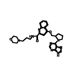 O=C(NCCCN1CCOCC1)c1cc(OCC2CCCN2c2ncnc3[nH]cnc23)c2ccccc2n1